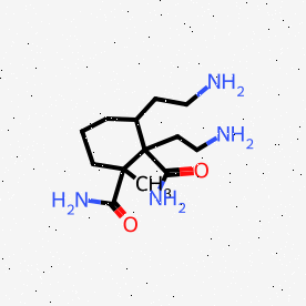 CC1(C(N)=O)CCCC(CCN)C1(CCN)C(N)=O